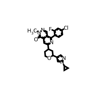 Cn1ncc2c(-c3ccc(Cl)cc3F)nc(C3CCOC(c4cnn(C5CC5)c4)C3)cc2c1=O